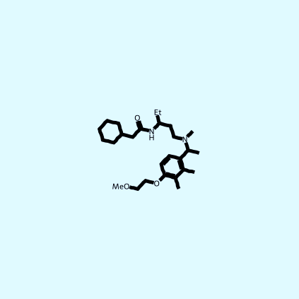 CCC(CCN(C)C(C)c1ccc(OCCOC)c(C)c1C)NC(=O)CC1CCCCC1